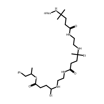 CCCCCCNC(C)(C)CCC(=O)NCCNC(C)(CC)CCC(=O)NCCNC(CC)CCC(=O)SC(C)CC(C)C